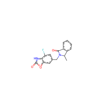 CC1c2ccccc2C(=O)N1Cc1cc(F)c2[nH]c(=O)oc2c1